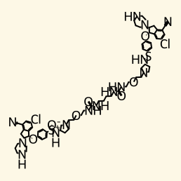 N#Cc1cc(Cl)cc2c1C[C@H](N1CCCNCC1)[C@H]2Oc1ccc(SN[C@@H]2CCN(CCOCCNC(=O)NCCCCNC(=O)NCCOCCN3CC[C@@H](N[S+]([O-])c4ccc(O[C@H]5c6cc(Cl)cc(C#N)c6C[C@@H]5N5CCCNCC5)cc4)C3)C2)cc1